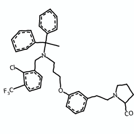 CC(c1ccccc1)(c1ccccc1)N(CCCOc1cccc(CCN2CCCC2C(=O)O)c1)Cc1cccc(C(F)(F)F)c1Cl